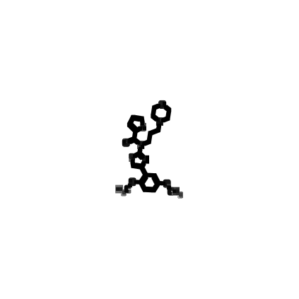 COc1ccc(OC)c(-c2csc(N(CCCN3CCOCC3)C(=O)c3cccs3)n2)c1